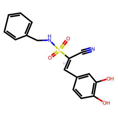 N#C/C(=C\c1ccc(O)c(O)c1)S(=O)(=O)NCc1ccccc1